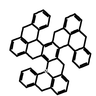 c1ccc2c(c1)Cc1cccc3c1C2c1c2c(c4c(c1C3)N1c3ccccc3Cc3cccc(c31)C4)C1c3ccccc3Cc3cccc(c31)C2